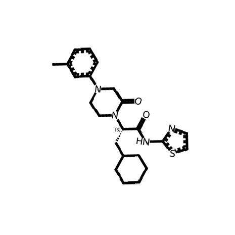 Cc1cccc(N2CCN([C@@H](CC3CCCCC3)C(=O)Nc3nccs3)C(=O)C2)c1